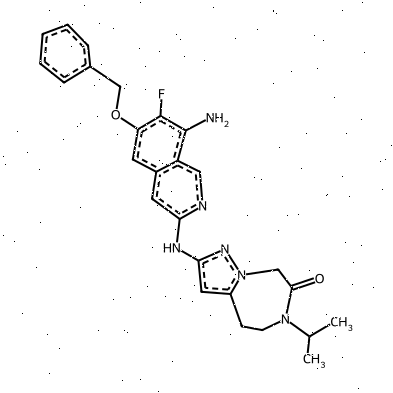 CC(C)N1CCc2cc(Nc3cc4cc(OCc5ccccc5)c(F)c(N)c4cn3)nn2CC1=O